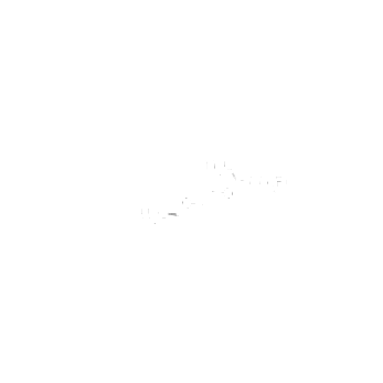 C=COCCOC(=C)C(=O)OCC